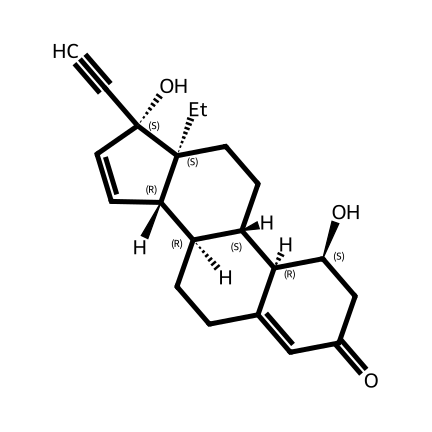 C#C[C@]1(O)C=C[C@H]2[C@@H]3CCC4=CC(=O)C[C@H](O)[C@@H]4[C@H]3CC[C@@]21CC